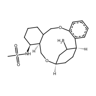 BC1C[C@H]2CC[C@@H]1c1ccccc1OCC1CCC[C@H](NS(C)(=O)=O)[C@@H]1CO2